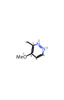 [CH2]c1nnccc1OC